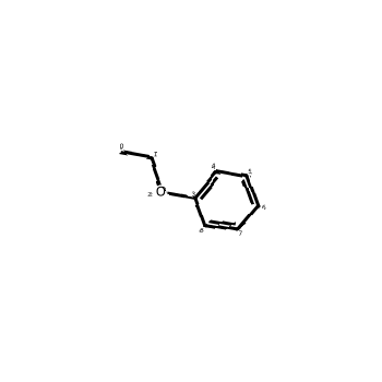 CCOc1c[c][c]cc1